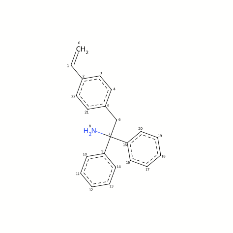 C=Cc1ccc(CC(N)(c2ccccc2)c2ccccc2)cc1